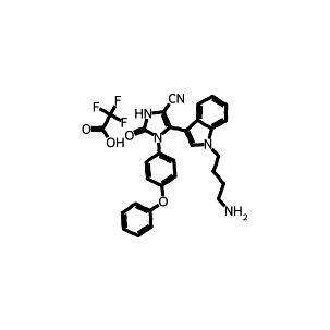 N#Cc1[nH]c(=O)n(-c2ccc(Oc3ccccc3)cc2)c1-c1cn(CCCCN)c2ccccc12.O=C(O)C(F)(F)F